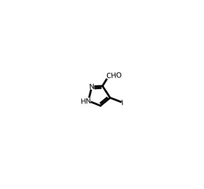 O=Cc1n[nH]cc1I